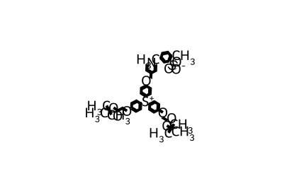 CC(C)(C)OC(=O)COc1ccc([S+](c2ccc(OCC(=O)OC(C)(C)C)cc2)c2ccc(OCc3ccncc3)cc2)cc1.Cc1ccc(C)c(S(=O)(=O)[O-])c1